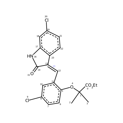 CCOC(=O)C(C)(C)Oc1ccc(Cl)cc1/C=C1\C(=O)Nc2cc(Cl)ccc21